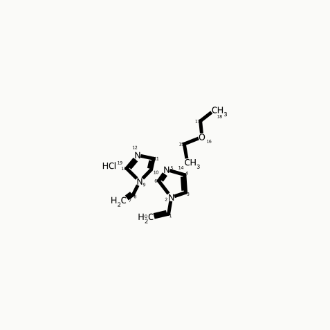 C=Cn1ccnc1.C=Cn1ccnc1.CCOCC.Cl